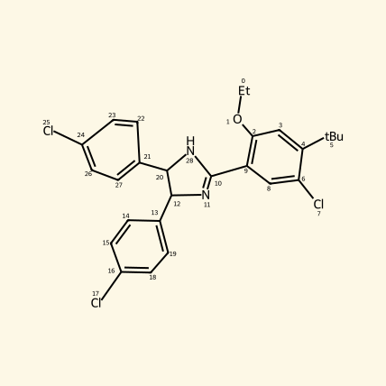 CCOc1cc(C(C)(C)C)c(Cl)cc1C1=NC(c2ccc(Cl)cc2)C(c2ccc(Cl)cc2)N1